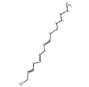 CC/C=C/CC=CCC=CCCCCCCC